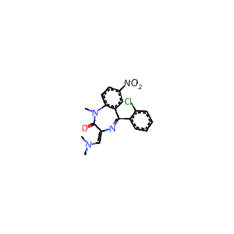 CN(C)C=C1N=C(c2ccccc2Cl)c2cc([N+](=O)[O-])ccc2N(C)C1=O